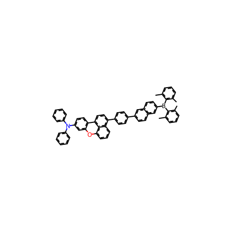 Cc1cccc(C)c1B(c1ccc2cc(-c3ccc(-c4ccc5c6c(cccc46)Oc4cc(N(c6ccccc6)c6ccccc6)ccc4-5)cc3)ccc2c1)c1c(C)cccc1C